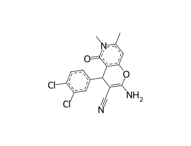 Cc1cc2c(c(=O)n1C)C(c1ccc(Cl)c(Cl)c1)C(C#N)=C(N)O2